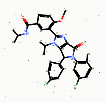 COc1ccc(C(=O)NC(C)C)cc1-c1nc2c(n1C(C)C)C(c1ccc(Cl)cc1)N(c1cc(Cl)ccc1C)C2=O